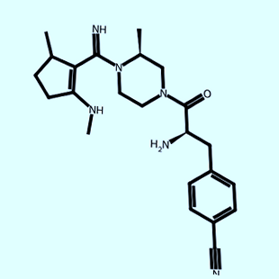 CNC1=C(C(=N)N2CCN(C(=O)[C@H](N)Cc3ccc(C#N)cc3)C[C@@H]2C)C(C)CC1